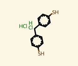 Cl.Cl.Sc1ccc(Cc2ccc(S)cc2)cc1